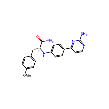 COc1ccc(C[C@@H](Nc2ccc(-c3ccnc(N)n3)cc2)C(N)=O)cc1